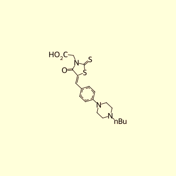 CCCCN1CCN(c2ccc(/C=C3\SC(=S)N(CC(=O)O)C3=O)cc2)CC1